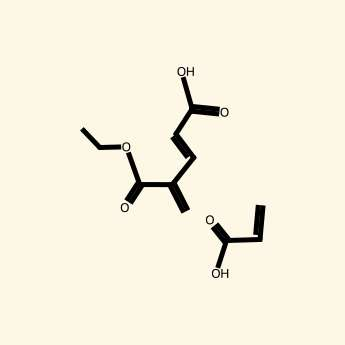 C=C(C=CC(=O)O)C(=O)OCC.C=CC(=O)O